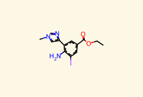 CCOC(=O)c1cc(I)c(N)c(-c2cn(C)cn2)c1